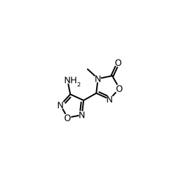 Cn1c(-c2nonc2N)noc1=O